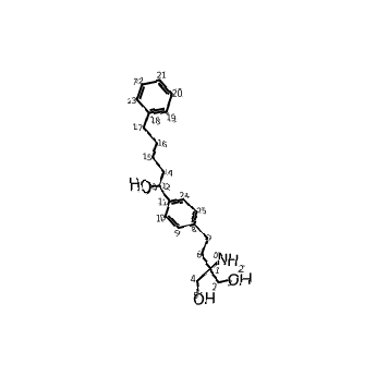 NC(CO)(CO)CCc1ccc(C(O)CCCCc2ccccc2)cc1